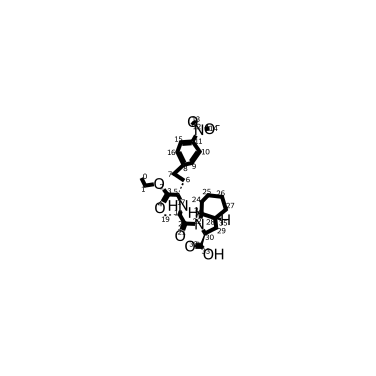 CCOC(=O)[C@H](CCc1ccc([N+](=O)[O-])cc1)N[C@@H](C)C(=O)N1[C@@H]2CCCC[C@@H]2C[C@H]1C(=O)O